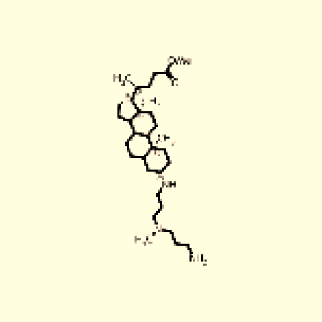 COC(=O)CC[C@@H](C)[C@H]1CCC2C3CCC4C[C@@H](NCCCN(C)CCCN)CC[C@]4(C)C3CC[C@@]21C